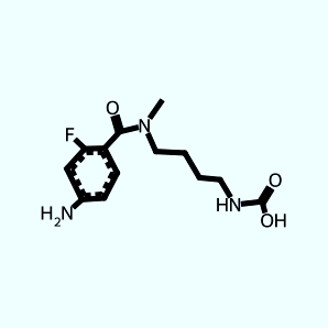 CN(CCCCNC(=O)O)C(=O)c1ccc(N)cc1F